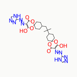 CC(C)(CC1CCC2(CC1)OC(=O)C(N=Nc1nnc[nH]1)=C(O)O2)C1CCC2(CC1)OC(=O)C(N=Nc1nnc[nH]1)=C(O)O2